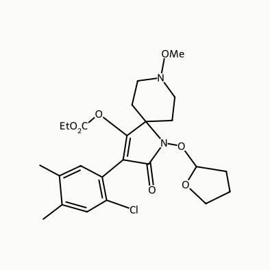 CCOC(=O)OC1=C(c2cc(C)c(C)cc2Cl)C(=O)N(OC2CCCO2)C12CCN(OC)CC2